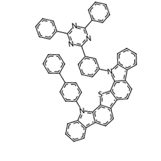 c1ccc(-c2ccc(-n3c4ccccc4c4ccc5c6ccc7c8ccccc8n(-c8cccc(-c9nc(-c%10ccccc%10)nc(-c%10ccccc%10)n9)c8)c7c6sc5c43)cc2)cc1